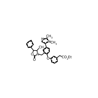 CCOC(=O)Cc1cccc(Oc2ccc(-c3cnc(C)n3C)cc2CN2C(=O)OC(c3ccccc3)C2C)c1